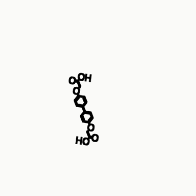 O=C(O)COc1ccc(-c2ccc(OCC(=O)O)cc2)cc1